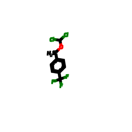 FC(F)(F)c1ccc([SiH2]OC(Cl)Cl)cc1